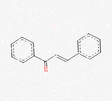 O=C(C=Cc1ccccc1)c1ccccc1.P